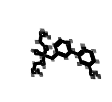 CCOP(=O)(Cc1ccnc(-c2cc(C)ccn2)c1)OCC